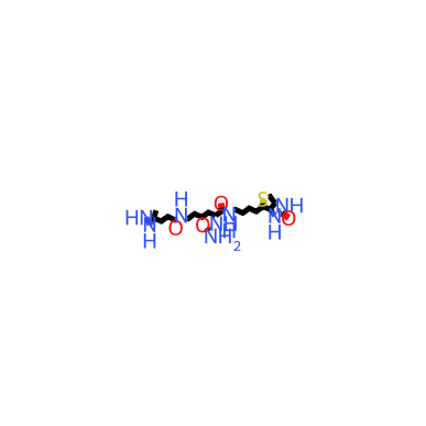 CC1(CCC(=O)NCCCCC(NC(N)=O)C(=O)NCCCCC2SCC3NC(=O)NC32)NN1